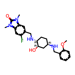 COc1ccccc1CN[C@@H]1CC[C@@H](NCc2cc3c(cc2F)n(C)c(=O)n3C)[C@H](O)C1